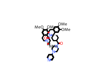 CCN1CCc2cc(OC)c(OC)cc2C1[C@H]1CC(C(=O)N2CCN(c3ccncc3)CC2)CC[C@]12c1cc(OC)c(OC)cc1CCN2C(=O)CCNC